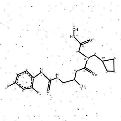 CC(CNC(=O)Nc1ccc(F)cc1F)CC(=O)N(CC(=O)NO)CC1CCC1